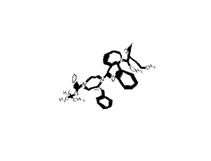 CCCC1(C(C)N2C=CC=CC(C(=O)N3CCN(C(=O)OC(C)(C)C)C[C@H]3Cc3ccccc3)=C2c2ccccc2)CO1